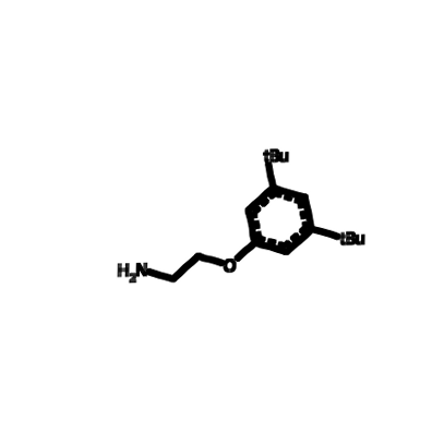 CC(C)(C)c1cc(OCCN)cc(C(C)(C)C)c1